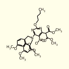 CCCCOc1nc(C(C(=O)OC)C(=O)OC)c([N+](=O)[O-])c(N(Cc2ccc(OC)cc2OC)Cc2ccc(OC)cc2OC)n1